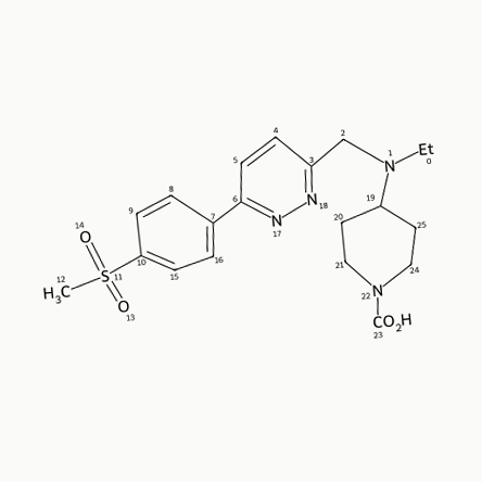 CCN(Cc1ccc(-c2ccc(S(C)(=O)=O)cc2)nn1)C1CCN(C(=O)O)CC1